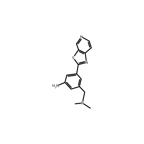 CN(C)Cc1cc(N)cc(-c2nc3ccncc3s2)c1